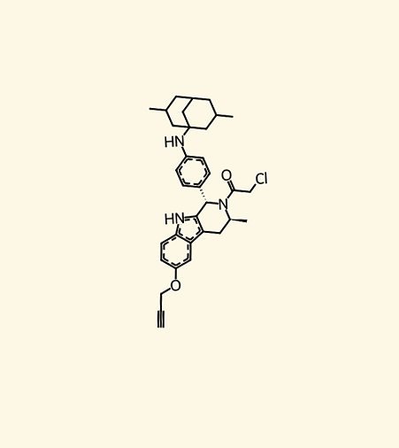 C#CCOc1ccc2[nH]c3c(c2c1)C[C@H](C)N(C(=O)CCl)[C@H]3c1ccc(NC23CC(C)CC(CC(C)C2)C3)cc1